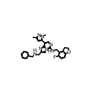 Cc1cc(-c2cnc(NCc3c(F)ccc4c3CCO4)n3cc(CNCc4ccccc4)nc23)n(C)n1